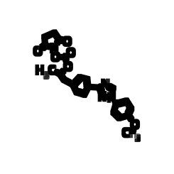 CC(Cc1ccc(-c2ncn(-c3ccc(OC(F)(F)F)cc3)n2)cc1)OC(=O)ON1C(=O)CCC1=O